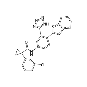 O=C(Nc1ccc(-c2cc3ccccc3s2)c(-c2nnn[nH]2)c1)C1(c2cccc(Cl)c2)CC1